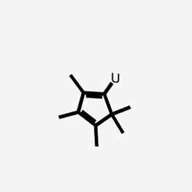 CC1=C(C)C(C)(C)[C]([U])=C1C